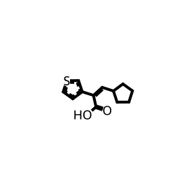 O=C(O)/C(=C\C1CCCC1)c1ccsc1